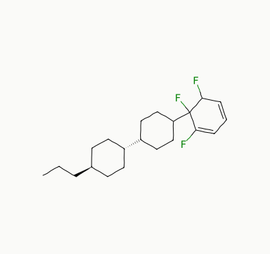 CCC[C@H]1CC[C@H](C2CCC(C3(F)C(F)=CC=CC3F)CC2)CC1